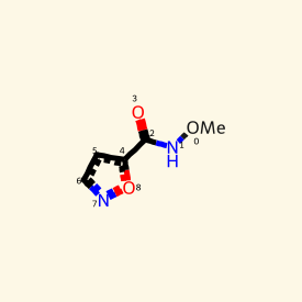 CONC(=O)c1ccno1